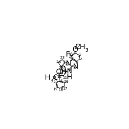 COc1ccc2nc(NC(=O)C[C@@](C)(O)c3ccccc3)n(C3CCC3)c2c1F